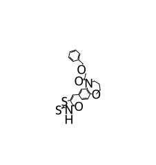 O=C1NC(=S)SC1=Cc1ccc2c(c1)N(C(=O)COCc1ccccc1)CCCO2